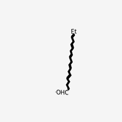 CCC=CCC=CCC=CCC=CCC=CCCC[C]=O